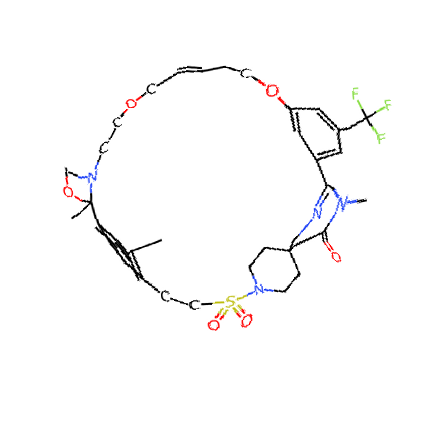 COC1(C)c2ccc(c(C)c2)CCS(=O)(=O)N2CCC3(CC2)N=C(c2cc(cc(C(F)(F)F)c2)OCC/C=C/COCCN1C)N(C)C3=O